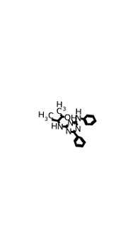 CCC(Nc1nc(Nc2ccccc2)nc(-c2ccccc2)n1)C(C)O